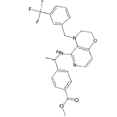 COC(=O)c1ccc(C(C)Nc2nccc3c2N(Cc2cccc(C(F)(F)F)c2)CCO3)cc1